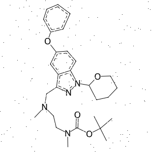 CN(CCN(C)C(=O)OC(C)(C)C)Cc1nn(C2CCCCO2)c2ccc(Oc3ccccc3)cc12